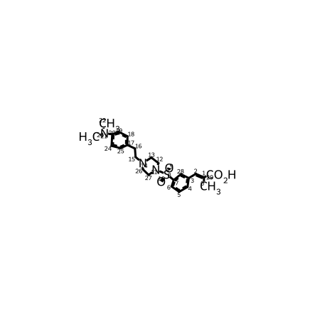 CC(=Cc1cccc(S(=O)(=O)N2CCN(CCc3ccc(N(C)C)cc3)CC2)c1)C(=O)O